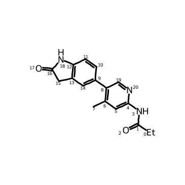 CCC(=O)Nc1cc(C)c(-c2ccc3c(c2)CC(=O)N3)cn1